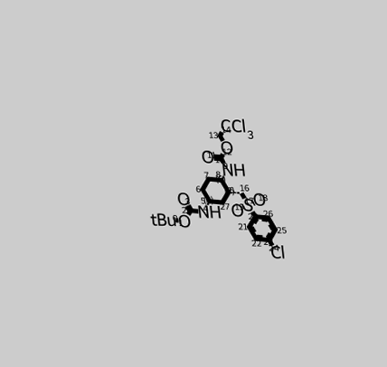 CC(C)(C)OC(=O)N[C@@H]1CC[C@H](NC(=O)OCC(Cl)(Cl)Cl)[C@H](CS(=O)(=O)c2ccc(Cl)cc2)C1